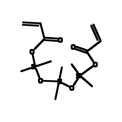 C=CC(=O)O[Si](C)(C)O[Si](C)(C)O[Si](C)(C)OC(=O)C=C